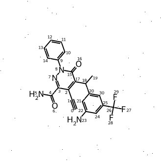 C#Cc1c(C(N)=O)nn(-c2ccccc2)c(=O)c1C(C)c1cc(N)cc(C(F)(F)F)c1